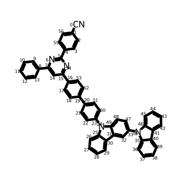 N#Cc1ccc(-c2nc(-c3ccccc3)cc(-c3ccc(-c4ccc(-n5c6ccccc6c6cc(-n7c8ccccc8c8ccccc87)ccc65)cc4)cc3)n2)cc1